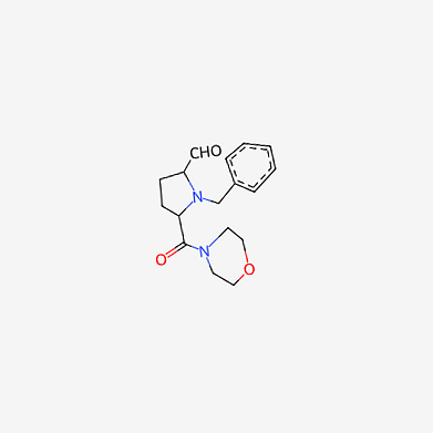 O=CC1CCC(C(=O)N2CCOCC2)N1Cc1ccccc1